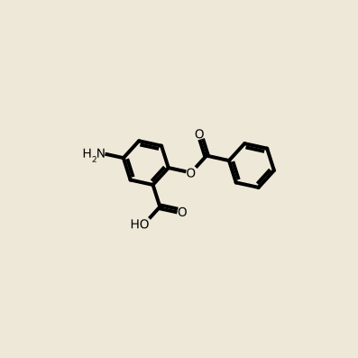 Nc1ccc(OC(=O)c2ccccc2)c(C(=O)O)c1